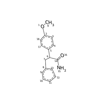 COc1ccc(C(Cc2ccccc2)C(N)=O)cc1